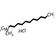 CCCCCCCCCC[CH2][Al]([CH3])[CH3].Cl